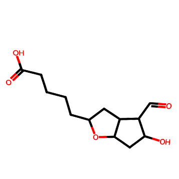 O=CC1C(O)CC2OC(CCCCC(=O)O)CC21